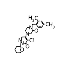 Cc1ccc(CN2CCN(c3cnn(C4CCCCO4)c(=O)c3Cl)CC2=O)c(C)c1